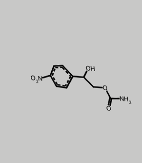 NC(=O)OCC(O)c1ccc([N+](=O)[O-])cc1